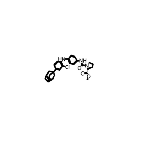 COC(=O)[C@H]1CCCN1C(=O)Nc1ccc(Nc2ccc(C34CC5CC(C3)C(C5)C4)cc2Cl)cc1